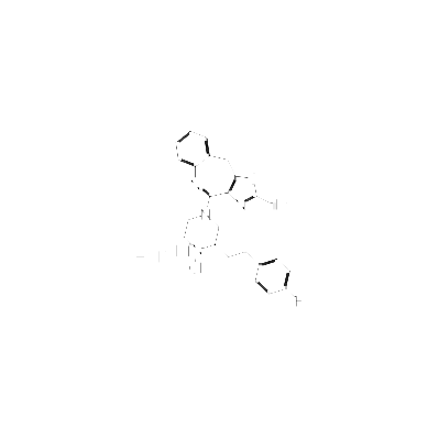 CC(C)c1nc2c(s1)Cc1ccccc1N=C2N1CCN(C)C(CCc2ccc(F)cc2)C1.Cl.Cl